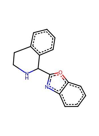 c1ccc2c(c1)CCNC2c1nc2ccccc2o1